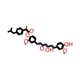 COc1cc(/C=C/C(O)=C/C(=O)/C=C/c2ccc(OC(=O)[C@H](C)c3ccc(CC(C)C)cc3)c(OC)c2)ccc1O